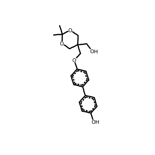 CC1(C)OCC(CO)(COc2ccc(-c3ccc(O)cc3)cc2)CO1